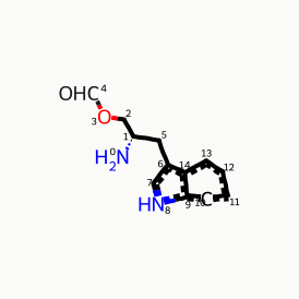 N[C@H](COC=O)Cc1c[nH]c2ccccc12